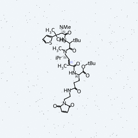 CN[C@H](C(=O)NC(C(=O)N(C)[C@H](/C=C(\C)C(=O)N[C@H](CCC(=O)NCCN1C(=O)C=CC1=O)C(=O)OC(C)(C)C)C(C)C)C(C)(C)C)C(C)(C)c1cccs1